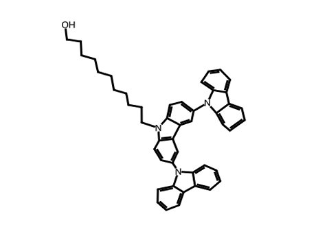 OCCCCCCCCCCCn1c2ccc(-n3c4ccccc4c4ccccc43)cc2c2cc(-n3c4ccccc4c4ccccc43)ccc21